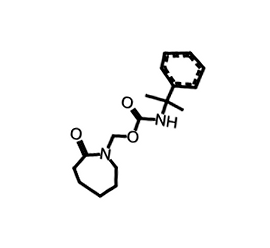 CC(C)(NC(=O)OCN1CCCCCC1=O)c1ccccc1